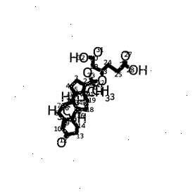 C[C@@]1(C2CC[C@H]3[C@@H]4CCC5=CC(=O)CC[C@]5(C)[C@H]4CC[C@]23C)OC(CCC(=O)O)C(C(=O)O)O1